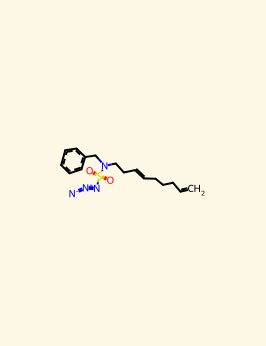 C=CCCC/C=C/CCN(Cc1ccccc1)S(=O)(=O)N=[N+]=[N-]